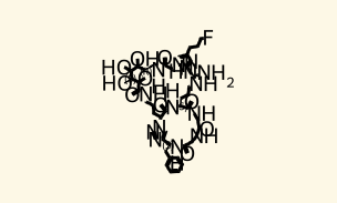 N=C(N)NCCC[C@@H]1NC(=O)C(CCCNC(=O)C2O[C@H](CNC(=O)Cn3cc(CCCF)nn3)C(O)C(O)[C@@H]2O)n2cc(nn2)[C@H](Cc2ccccc2)NC(=O)CNC(=O)CNC1=O